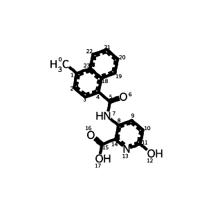 Cc1ccc(C(=O)Nc2ccc(O)nc2C(=O)O)c2ccccc12